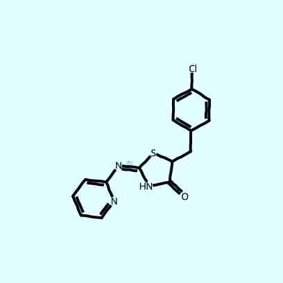 O=C1N/C(=N\c2ccccn2)SC1Cc1ccc(Cl)cc1